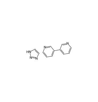 c1c[nH]nn1.c1cncc(-c2cccnc2)c1